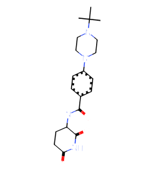 CC(C)(C)N1CCN(c2ccc(C(=O)NC3CCC(=O)NC3=O)cc2)CC1